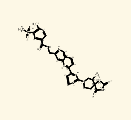 Cc1ncc(C(=O)NCc2cc3nc(-c4ccnc(N5CCC6(NC(=O)NC6=O)C(C)C5)n4)ccc3cn2)cc1S(C)(=O)=O